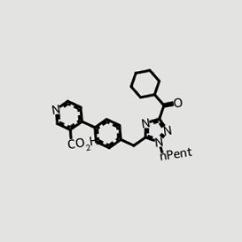 CCCCCn1nc(C(=O)C2CCCCC2)nc1Cc1ccc(-c2ccncc2C(=O)O)cc1